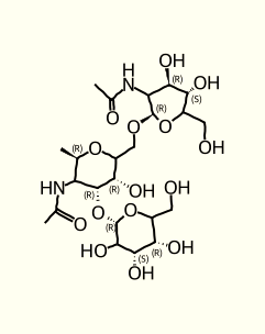 CC(=O)NC1[C@H](OCC2O[C@H](C)C(NC(C)=O)[C@@H](O[C@@H]3OC(CO)[C@H](O)[C@H](O)C3O)[C@H]2O)OC(CO)[C@@H](O)[C@@H]1O